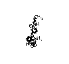 CCCCNC(=O)N1CCCC(COc2cccc3c2C(N)=NS(=O)(=O)N3)C1